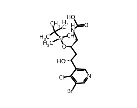 CC(C)(C)[Si](C)(C)O[C@@H](CNC(=O)O)C[C@@H](O)c1cncc(Br)c1Cl